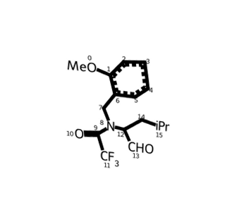 COc1ccccc1CN(C(=O)C(F)(F)F)C(C=O)CC(C)C